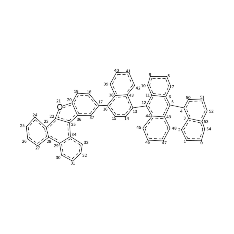 c1ccc2c(-c3c4ccccc4c(-c4ccc(-c5ccc6oc7c8ccccc8c8ccccc8c7c6c5)c5ccccc45)c4ccccc34)cccc2c1